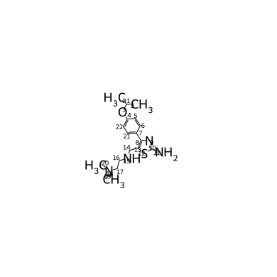 CC(C)Oc1ccc(-c2nc(N)sc2CNCCN(C)C)cc1